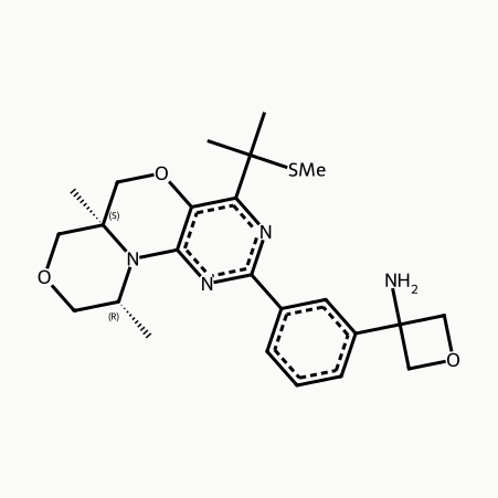 CSC(C)(C)c1nc(-c2cccc(C3(N)COC3)c2)nc2c1OC[C@]1(C)COC[C@@H](C)N21